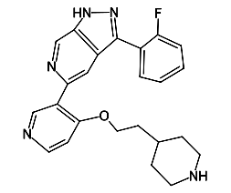 Fc1ccccc1-c1n[nH]c2cnc(-c3cnccc3OCCC3CCNCC3)cc12